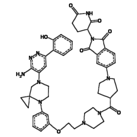 Nc1nnc(-c2ccccc2O)cc1N1CCN(c2cccc(OCCN3CCN(C(=O)C4CCN(c5ccc6c(c5)C(=O)N(C5CCC(=O)NC5=O)C6=O)CC4)CC3)c2)C2(CC2)C1